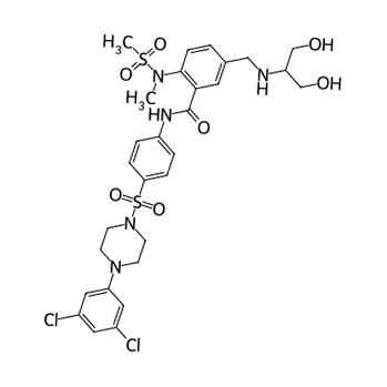 CN(c1ccc(CNC(CO)CO)cc1C(=O)Nc1ccc(S(=O)(=O)N2CCN(c3cc(Cl)cc(Cl)c3)CC2)cc1)S(C)(=O)=O